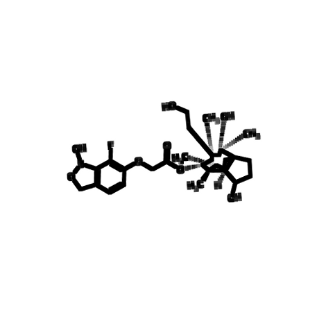 C[C@@H]1CC[C@@]23CCC(O)[C@H]2[C@]1(C)[C@H](OC(=O)COc1ccc2c(c1F)B(O)OC2)C[C@@](C)(CCO)[C@@H](O)[C@@H]3C